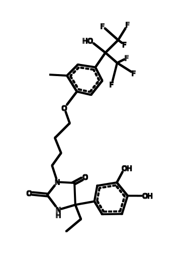 CCC1(c2ccc(O)c(O)c2)NC(=O)N(CCCCOc2ccc(C(O)(C(F)(F)F)C(F)(F)F)cc2C)C1=O